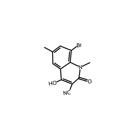 Cc1cc(Br)c2c(c1)c(O)c(C#N)c(=O)n2C